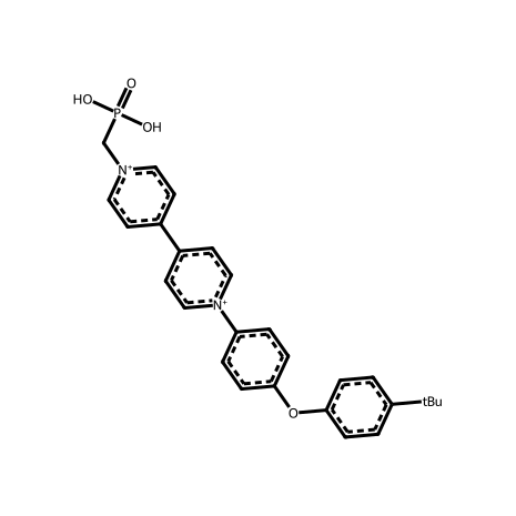 CC(C)(C)c1ccc(Oc2ccc(-[n+]3ccc(-c4cc[n+](CP(=O)(O)O)cc4)cc3)cc2)cc1